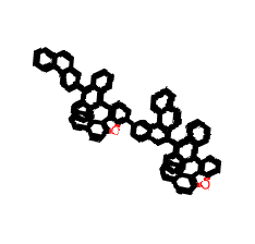 c1ccc2c(c1)ccc1cc(-c3c4ccccc4c(-c4ccc(-c5ccc6cc(-c7c8ccccc8c(-c8cccc9oc%10ccc%11ccccc%11c%10c89)c8ccccc78)c7ccc8ccccc8c7c6c5)c5oc6ccc7ccccc7c6c45)c4ccccc34)ccc12